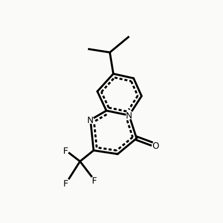 CC(C)c1ccn2c(=O)cc(C(F)(F)F)nc2c1